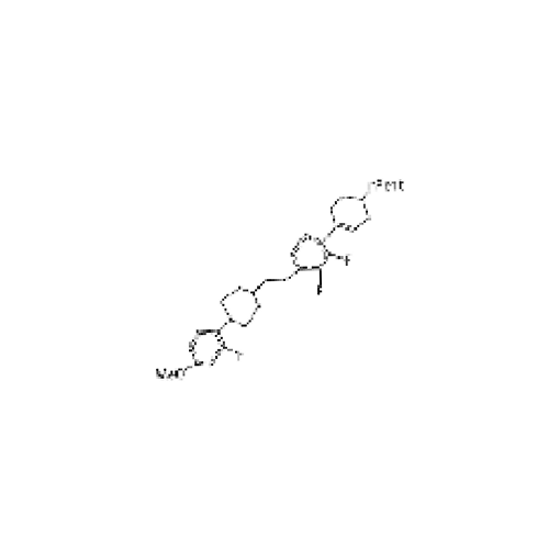 CCCCCC1CC=C(c2ccc(CCC3CCC(c4ccc(OC)cc4F)CC3)c(F)c2F)CC1